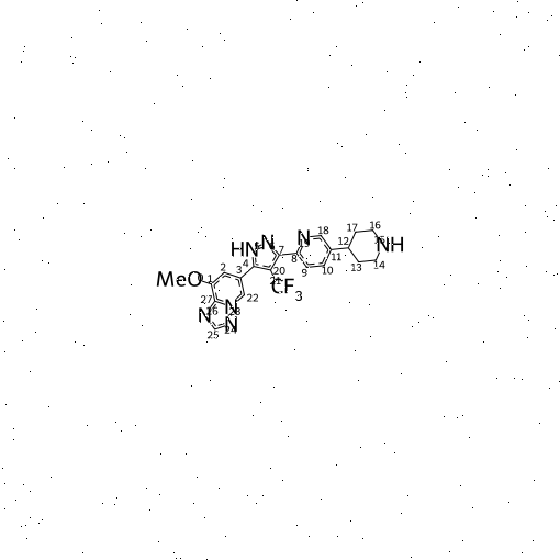 COc1cc(-c2[nH]nc(-c3ccc(C4CCNCC4)cn3)c2C(F)(F)F)cn2ncnc12